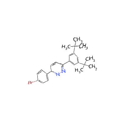 CC(C)(C)c1cc(-c2ccc(-c3ccc(Br)cc3)nn2)cc(C(C)(C)C)c1